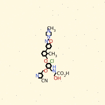 Cc1c(COc2cc(OCc3cncc(C#N)c3)c(CN[C@@H](CO)C(=O)O)cc2Cl)cccc1-c1ccc2oc(N3CCN(C)CC3)nc2c1